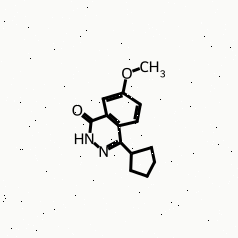 COc1ccc2c(C3CCCC3)n[nH]c(=O)c2c1